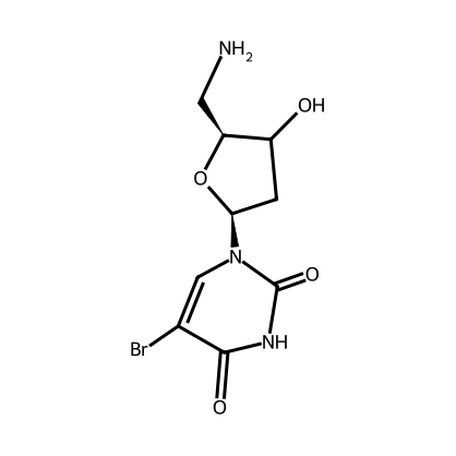 NC[C@@H]1O[C@H](n2cc(Br)c(=O)[nH]c2=O)CC1O